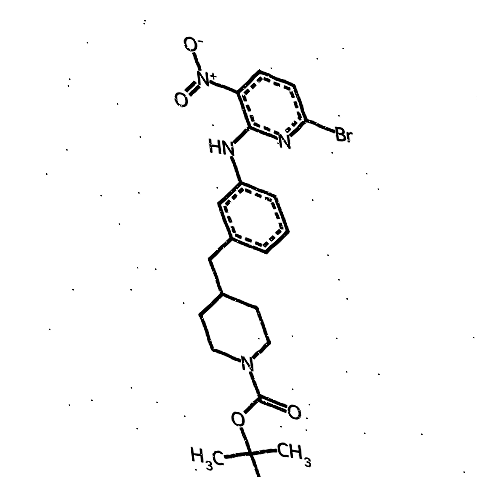 CC(C)(C)OC(=O)N1CCC(Cc2cccc(Nc3nc(Br)ccc3[N+](=O)[O-])c2)CC1